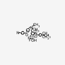 CCCN(CC1CCN(C(=O)c2ccc(C#N)cc2)CC1)C(C)Cc1cccc(NC(=O)c2ccc(C(C)(C)C)cc2)c1.O=C(O)C(F)(F)F